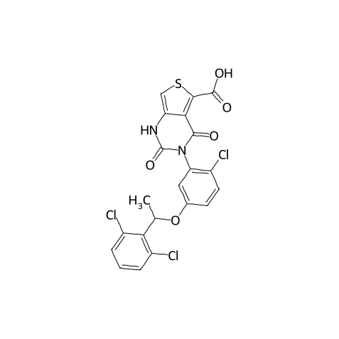 CC(Oc1ccc(Cl)c(-n2c(=O)[nH]c3csc(C(=O)O)c3c2=O)c1)c1c(Cl)cccc1Cl